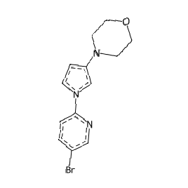 Brc1ccc(-n2ccc(N3CCOCC3)c2)nc1